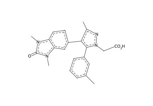 Cc1cccc(-c2c(-c3ccc4c(c3)n(C)c(=O)n4C)c(C)nn2CC(=O)O)c1